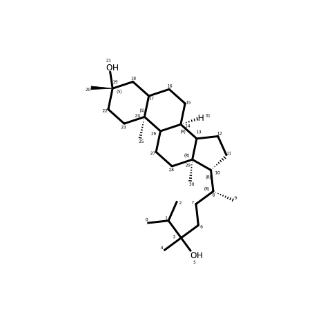 CC(C)C(C)(O)CC[C@@H](C)[C@H]1CCC2[C@@H]3CCC4C[C@@](C)(O)CC[C@]4(C)C3CC[C@@]21C